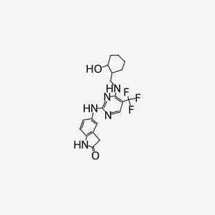 O=C1Cc2cc(Nc3ncc(C(F)(F)F)c(NCC4CCCCC4O)n3)ccc2N1